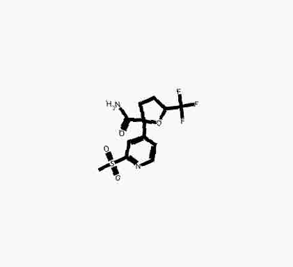 CS(=O)(=O)c1cc(C2(C(N)=O)CCC(C(F)(F)F)O2)ccn1